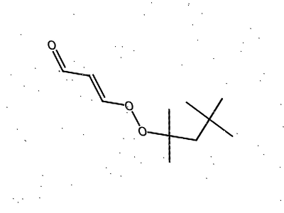 CC(C)(C)CC(C)(C)OOC=C[C]=O